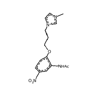 CC(=O)Nc1cc([N+](=O)[O-])ccc1OCCC[n+]1ccn(C)c1